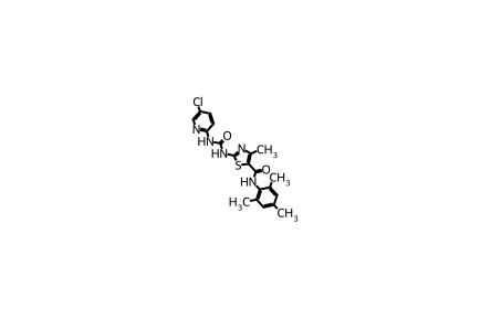 Cc1cc(C)c(NC(=O)c2sc(NC(=O)Nc3ccc(Cl)cn3)nc2C)c(C)c1